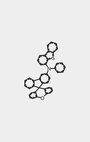 c1ccc(N(c2ccc3c(c2)-c2ccccc2C32c3ccccc3Oc3ccccc32)c2cccc3c2sc2ccccc23)cc1